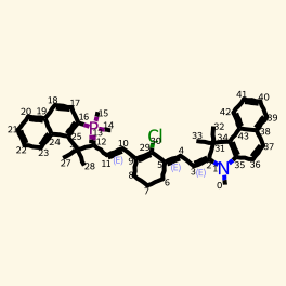 CN1/C(=C/C=C2\CCCC(/C=C/C3=P(C)(C)c4ccc5ccccc5c4C3(C)C)=C2Cl)C(C)(C)c2c1ccc1ccccc21